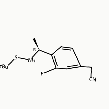 C[C@H](NSC(C)(C)C)c1ccc(CC#N)cc1F